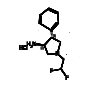 Cl.N[C@@H]1CN(CC(F)F)C[C@H]1c1ccccc1